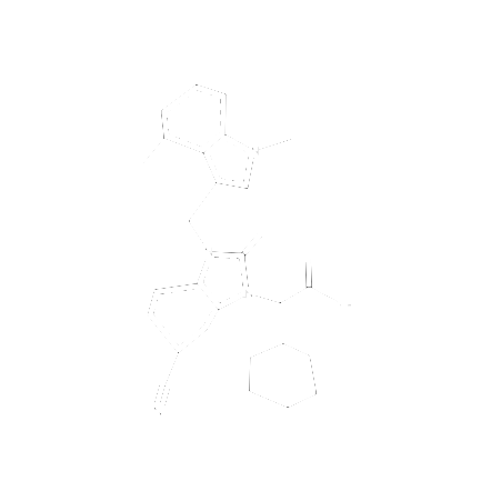 Cc1cccc2c1c(Cn1c(=O)n([C@H](C(=O)O)C3CCCCC3)c3cc(C#N)ccc31)cn2C